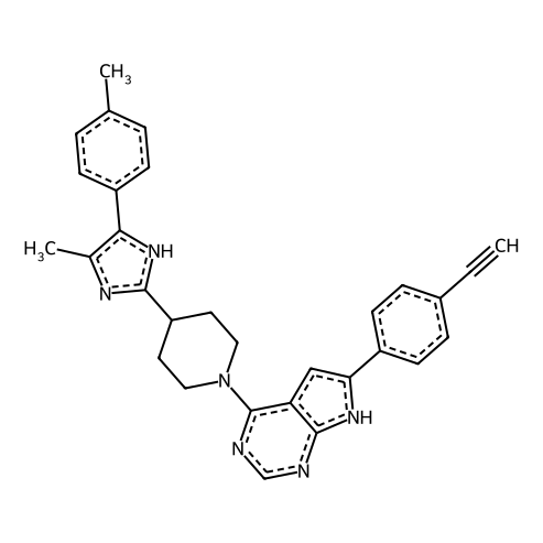 C#Cc1ccc(-c2cc3c(N4CCC(c5nc(C)c(-c6ccc(C)cc6)[nH]5)CC4)ncnc3[nH]2)cc1